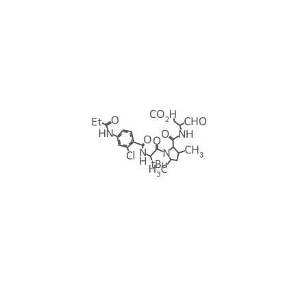 CCC(=O)Nc1ccc(C(=O)NC(C(=O)N2C(C)CC(C)C2C(=O)NC(C=O)CC(=O)O)C(C)(C)C)c(Cl)c1